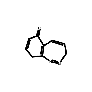 O=C1C=CCC2=C1C=CCN=N2